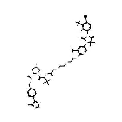 Cc1ncsc1-c1ccc(CNC(=O)[C@@H]2C[C@@H](O)CN2C(=O)[C@@H](NC(=O)COCCOCCOc2ncc(N3C(=S)N(c4ccc(C#N)c(C(F)(F)F)c4F)C(=O)C3(C)C)cc2C(N)=O)C(C)(C)C)cc1